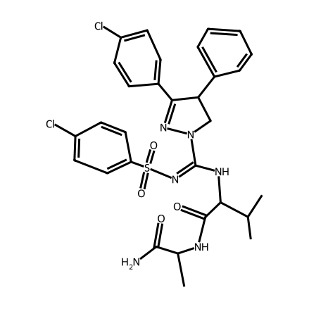 CC(NC(=O)C(N/C(=N/S(=O)(=O)c1ccc(Cl)cc1)N1CC(c2ccccc2)C(c2ccc(Cl)cc2)=N1)C(C)C)C(N)=O